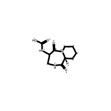 O=C(O)NC1CNC(=O)[C@H]2CCCCN2C1=O